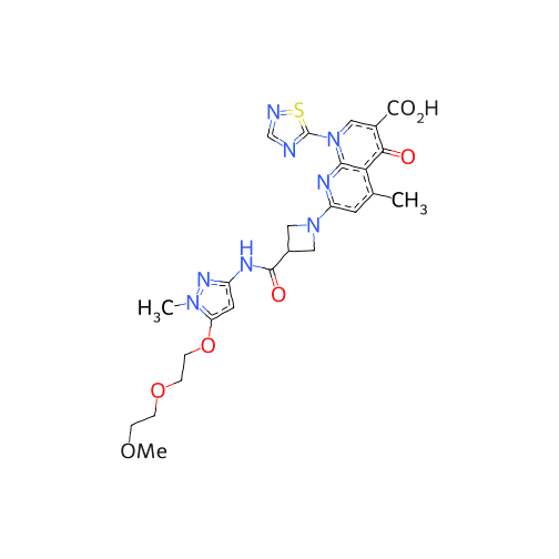 COCCOCCOc1cc(NC(=O)C2CN(c3cc(C)c4c(=O)c(C(=O)O)cn(-c5ncns5)c4n3)C2)nn1C